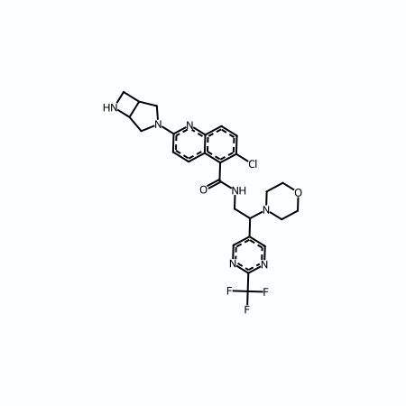 O=C(NCC(c1cnc(C(F)(F)F)nc1)N1CCOCC1)c1c(Cl)ccc2nc(N3CC4CNC4C3)ccc12